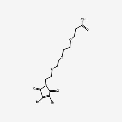 O=C(O)CCOCCOCCOCCN1C(=O)C(Br)=C(Br)C1=O